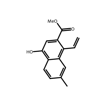 C=Cc1c(C(=O)OC)cc(O)c2ccc(C)cc12